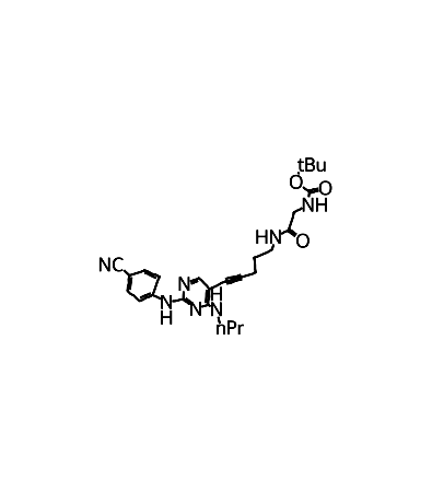 CCCNc1nc(Nc2ccc(C#N)cc2)ncc1C#CCCCNC(=O)CNC(=O)OC(C)(C)C